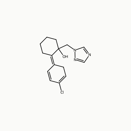 OC1(Cn2cncn2)CCCCC1=C1C=CC(Cl)=CC1